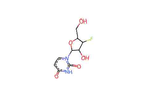 O=c1ccn(C2OC(CO)C(F)C2O)c(=O)[nH]1